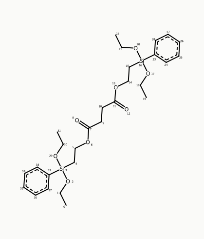 CCO[Si](CCOC(=O)CCC(=O)OCC[Si](OCC)(OCC)c1ccccc1)(OCC)c1ccccc1